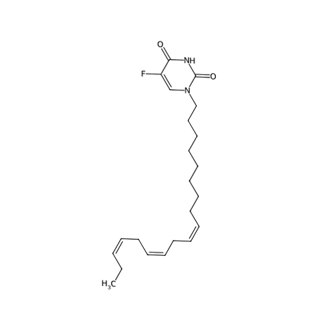 CC/C=C\C/C=C\C/C=C\CCCCCCCCn1cc(F)c(=O)[nH]c1=O